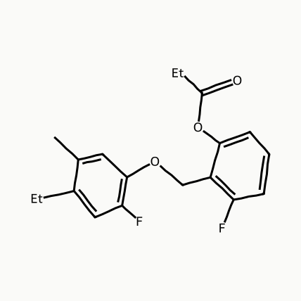 CCC(=O)Oc1cccc(F)c1COc1cc(C)c(CC)cc1F